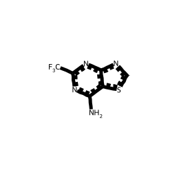 Nc1nc(C(F)(F)F)nc2n[c]sc12